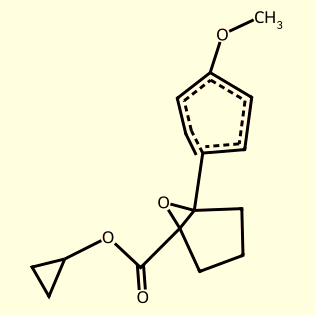 COc1ccc(C23CCCC2(C(=O)OC2CC2)O3)cc1